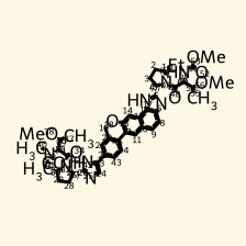 CC[C@H]1CC[C@@H](c2nc3ccc4cc5c(cc4c3[nH]2)OCc2cc(-c3cnc([C@@H]4CC[C@H](C)N4C(=O)[C@H]([C@@H](C)OC)N(C)C(=O)O)[nH]3)ccc2-5)N1C(=O)[C@@H](NC(=O)OC)C(C)OC